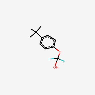 CC(C)(C)c1ccc(OC(O)(F)F)cc1